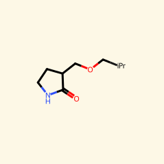 CC(C)COCC1CCNC1=O